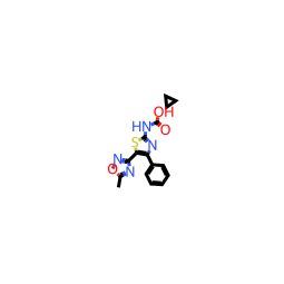 C1CC1.Cc1nc(-c2sc(NC(=O)O)nc2-c2ccccc2)no1